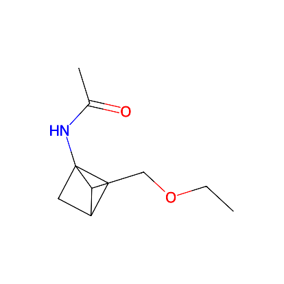 CCOCC1C2CC1(NC(C)=O)C2